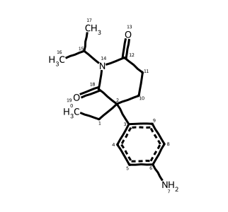 CCC1(c2ccc(N)cc2)CCC(=O)N(C(C)C)C1=O